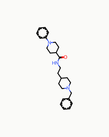 O=C(NCCC1CCN(Cc2ccccc2)CC1)C1CCN(c2ccccc2)CC1